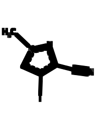 Cn1cc(I)c(C#N)n1